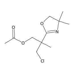 CC(=O)OCC(C)(CCl)C1=NC(C)(C)CO1